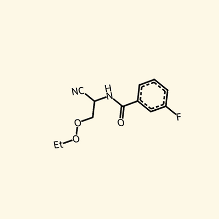 CCOOCC(C#N)NC(=O)c1cccc(F)c1